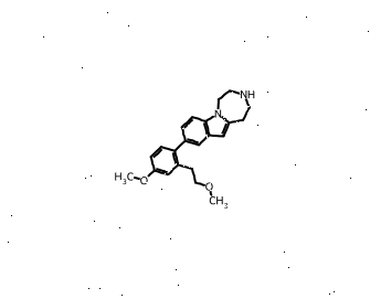 COCCc1cc(OC)ccc1-c1ccc2c(c1)cc1n2CCNCC1